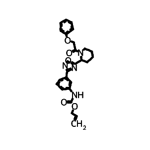 C=CCOC(=O)Nc1cccc(-c2noc(C3CCCCN3C(=O)COc3ccccc3)n2)c1